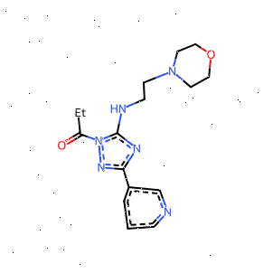 CCC(=O)n1nc(-c2cccnc2)nc1NCCN1CCOCC1